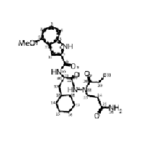 COc1cccc2[nH]c(C(=O)N[C@H](CC3CCCCC3)C(=O)NN(CCC(N)=O)C(=O)CF)cc12